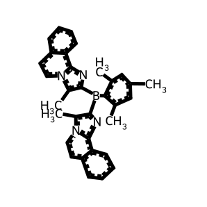 Cc1cc(C)c(B(c2nc3c4ccccc4ccn3c2C)c2nc3c4ccccc4ccn3c2C)c(C)c1